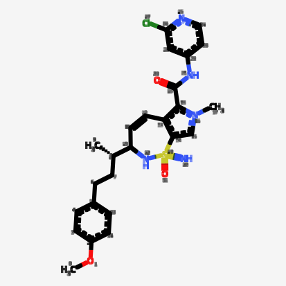 COc1ccc(CC[C@H](C)C2C=Cc3c(cn(C)c3C(=O)Nc3ccnc(Cl)c3)S(=N)(=O)N2)cc1